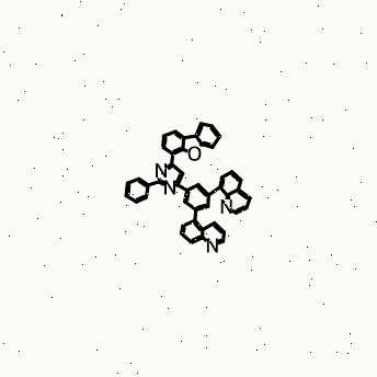 c1ccc(-c2nc(-c3cc(-c4cccc5ncccc45)cc(-c4cccc5cccnc45)c3)cc(-c3cccc4c3oc3ccccc34)n2)cc1